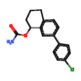 NC(=O)OC1CCCc2ccc(-c3ccc(Cl)cc3)cc21